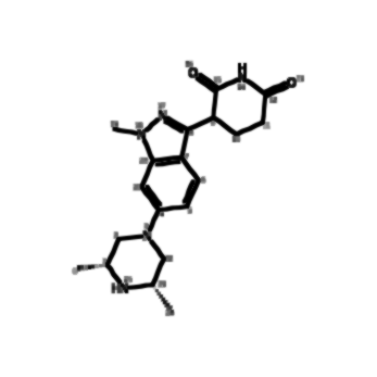 C[C@@H]1CN(c2ccc3c(C4CCC(=O)NC4=O)nn(C)c3c2)C[C@H](C)N1